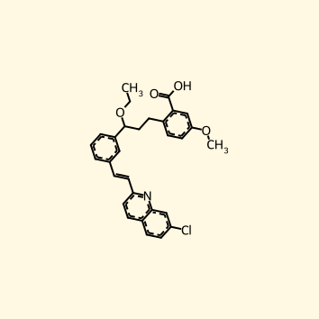 CCOC(CCc1ccc(OC)cc1C(=O)O)c1cccc(/C=C/c2ccc3ccc(Cl)cc3n2)c1